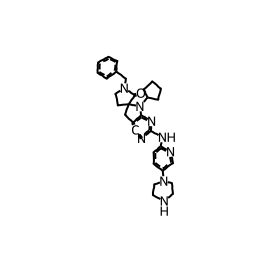 O=C1N(Cc2ccccc2)CCC12Cc1cnc(Nc3ccc(N4CCNCC4)cn3)nc1N2C1CCCC1